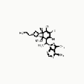 [2H]C1=C(C(C)n2nc(C)c3c(N)ncnc32)C([2H])(OC)C([2H])(C2CN(CCO)C2)C(C#N)=C1Cl